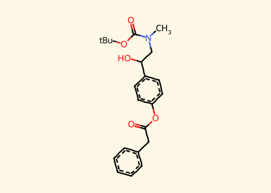 CN(CC(O)c1ccc(OC(=O)Cc2ccccc2)cc1)C(=O)OC(C)(C)C